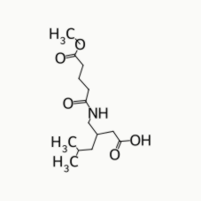 COC(=O)CCCC(=O)NCC(CC(=O)O)CC(C)C